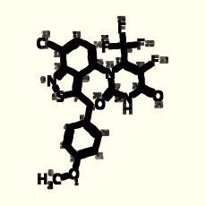 COc1ccc(Cc2snc3c(Cl)ccc(-n4c(C(F)(F)F)c(F)c(=O)[nH]c4=O)c23)cc1